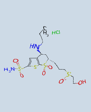 CCCN[C@H]1C[C@H](CCC[S+]([O-])CCO)S(=O)(=O)c2sc(S(N)(=O)=O)cc21.Cl